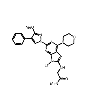 CCn1c(NCC(=O)NC)nc2c(N3CCOCC3)nc(-n3cc(-c4ccccc4)c(OC)n3)nc21